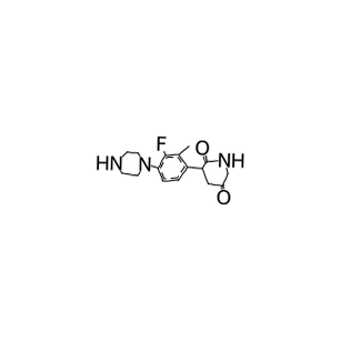 Cc1c(C2CC(=O)CNC2=O)ccc(N2CCNCC2)c1F